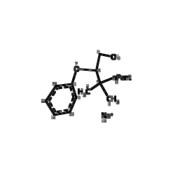 CCCCCC(C)(C)C(C[O-])Oc1ccccc1.[Na+]